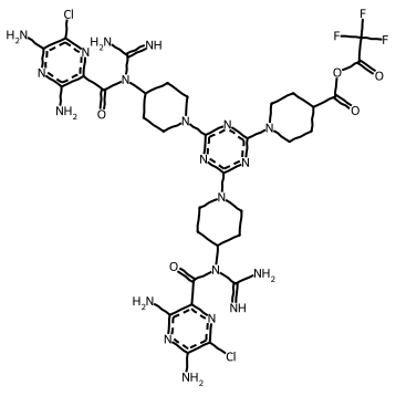 N=C(N)N(C(=O)c1nc(Cl)c(N)nc1N)C1CCN(c2nc(N3CCC(C(=O)OC(=O)C(F)(F)F)CC3)nc(N3CCC(N(C(=N)N)C(=O)c4nc(Cl)c(N)nc4N)CC3)n2)CC1